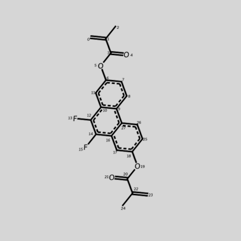 C=C(C)C(=O)Oc1ccc2c(c1)c(F)c(F)c1cc(OC(=O)C(=C)C)ccc12